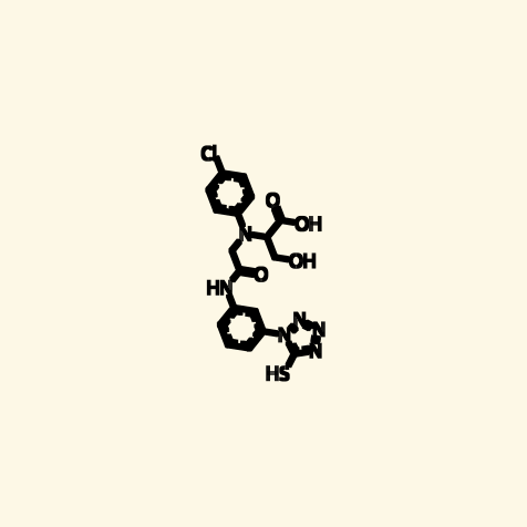 O=C(CN(c1ccc(Cl)cc1)C(CO)C(=O)O)Nc1cccc(-n2nnnc2S)c1